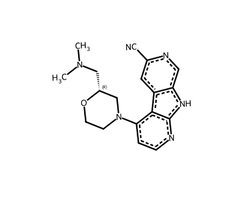 CN(C)C[C@@H]1CN(c2ccnc3[nH]c4cnc(C#N)cc4c23)CCO1